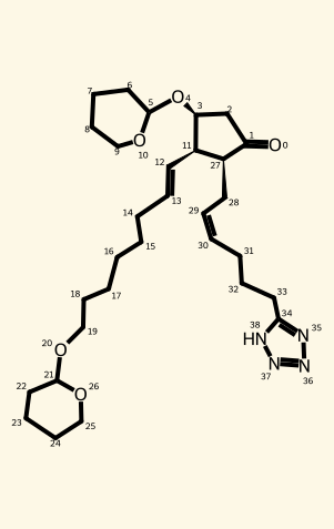 O=C1C[C@H](OC2CCCCO2)[C@H](C=CCCCCCCOC2CCCCO2)[C@@H]1C/C=C\CCCc1nnn[nH]1